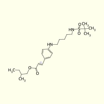 CCC(C)COC(=O)/C=C/c1ccc(NCCCCCNS(=O)(=O)C(C)(C)C)cc1